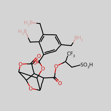 BCc1cc(CB)c(CB)c(C(=O)OC2C3OC(=O)C4C3OC2C4C(=O)OC(CS(=O)(=O)O)C(F)(F)F)c1